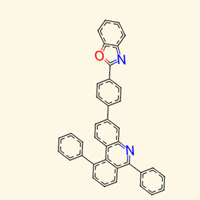 c1ccc(-c2nc3cc(-c4ccc(-c5nc6ccccc6o5)cc4)ccc3c3c(-c4ccccc4)cccc23)cc1